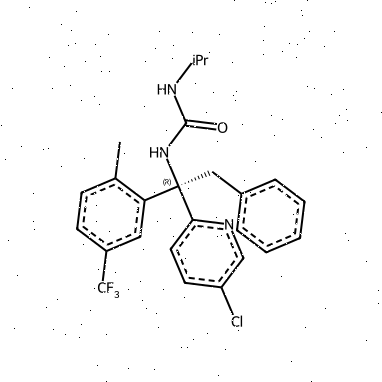 Cc1ccc(C(F)(F)F)cc1[C@@](Cc1ccccc1)(NC(=O)NC(C)C)c1ccc(Cl)cn1